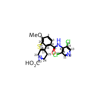 COc1ccc(C(=O)Nc2c(Cl)cncc2Cl)c2c3c(sc12)CN(C(=O)O)CC3